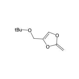 C=C1OC=C(COC(C)(C)C)O1